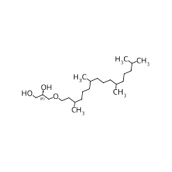 CC(C)CCCC(C)CCCC(C)CCCC(C)CCOC[C@H](O)CO